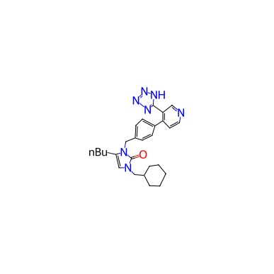 CCCCc1cn(CC2CCCCC2)c(=O)n1Cc1ccc(-c2ccncc2-c2nnn[nH]2)cc1